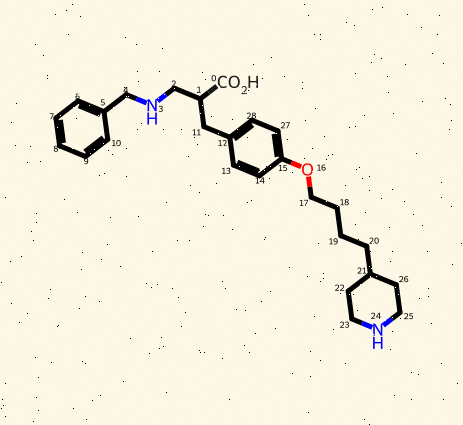 O=C(O)C(CNCc1ccccc1)Cc1ccc(OCCCCC2CCNCC2)cc1